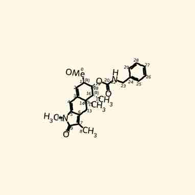 CO[C@@H]1C=C2C=C3C(=C(C)C(=O)N3C)C[C@]2(C)[C@@H](C)[C@H]1OC(=O)NCc1ccccc1